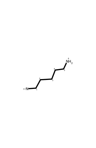 [N]CCCCCN